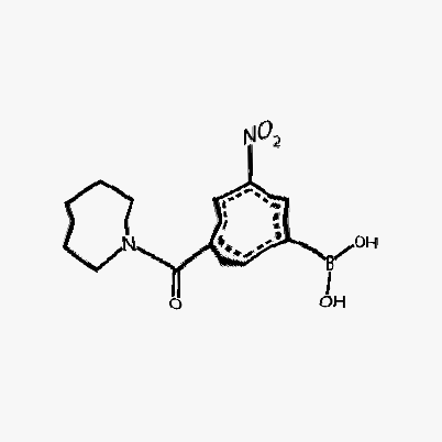 O=C(c1cc(B(O)O)cc([N+](=O)[O-])c1)N1CCCCC1